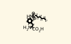 N[C@@H](Cc1cccc(NS(=O)(=O)CCCCCI)c1)C(=O)O